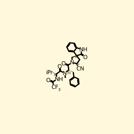 CC(C)[C@@H](NC(=O)C(F)(F)F)C(=O)N(C)[C@@H](Cc1ccccc1)C(=O)N1C[C@]2(C[C@H]1C#N)C(=O)Nc1ccccc12